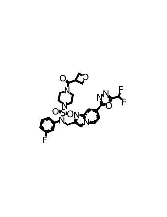 O=C(C1COC1)N1CCN(S(=O)(=O)N(Cc2cn3ccc(-c4nnc(C(F)F)o4)cc3n2)c2cccc(F)c2)CC1